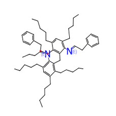 CCCCCc1cc(CCCCC)c(/N=C/Cc2ccccc2)c(Cc2c(CCCCC)c(CCCCC)cc(CCCCC)c2/N=C/Cc2ccccc2)c1CCCCC